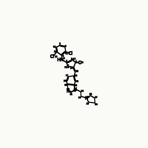 O=C1N=C(Nc2c(Cl)cccc2Cl)S/C1=C\c1ccc2ncn(CCN3CCCC3)c2c1